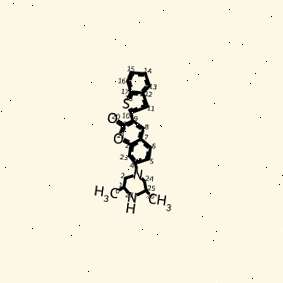 CC1CN(c2ccc3cc(-c4cc5ccccc5s4)c(=O)oc3c2)CC(C)N1